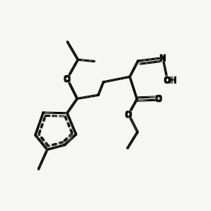 CCOC(=O)C(/C=N\O)CCC(OC(C)C)c1ccc(C)cc1